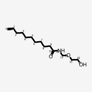 C=CCCCCCCCCC(=O)NCOCCO